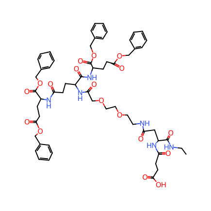 CCNC(=O)C(CC(=O)NCCOCCOCC(=O)NC(CCC(=O)NC(CCC(=O)OCc1ccccc1)C(=O)OCc1ccccc1)C(=O)NC(CCC(=O)OCc1ccccc1)C(=O)OCc1ccccc1)NC(=O)CCC(=O)O